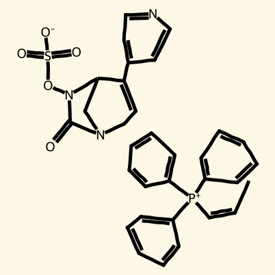 C/C=C\[P+](c1ccccc1)(c1ccccc1)c1ccccc1.O=C1N2CC=C(c3ccncc3)C(C2)N1OS(=O)(=O)[O-]